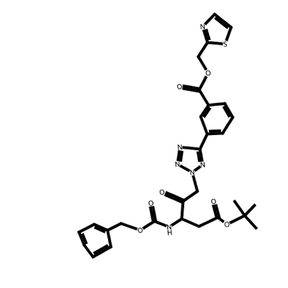 CC(C)(C)OC(=O)CC(NC(=O)OCc1ccccc1)C(=O)Cn1nnc(-c2cccc(C(=O)OCc3nccs3)c2)n1